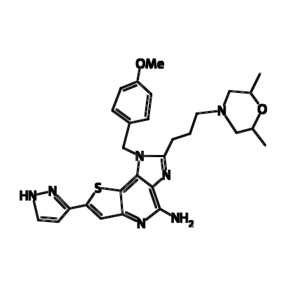 COc1ccc(Cn2c(CCCN3CC(C)OC(C)C3)nc3c(N)nc4cc(-c5cc[nH]n5)sc4c32)cc1